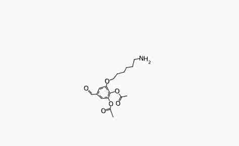 CC(=O)Oc1cc(C=O)cc(OCCCCCCN)c1OC(C)=O